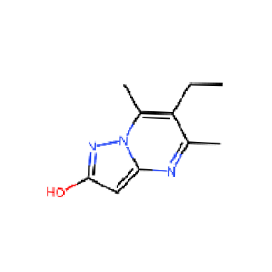 CCc1c(C)nc2cc(O)nn2c1C